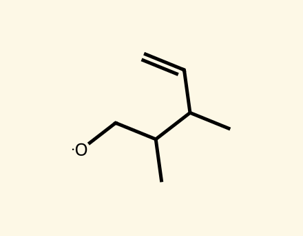 C=CC(C)C(C)C[O]